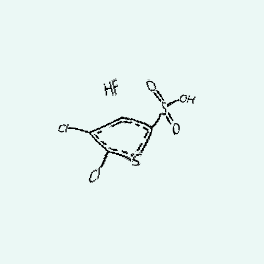 F.O=S(=O)(O)c1cc(Cl)c(Cl)s1